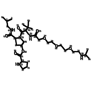 CC(C)CNC(=O)C1CC(OC(=O)C2CCCN2)CN1C(=O)C(NC(=O)COCCOCCOCCNC(C)C)C(C)(C)C